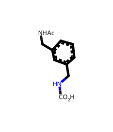 CC(=O)NCc1cccc(CNC(=O)O)c1